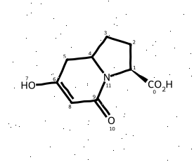 O=C(O)[C@@H]1CCC2CC(O)=CC(=O)N21